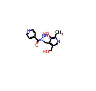 Cc1ncc(CO)c(CN(N)C(=O)c2ccncc2)c1O